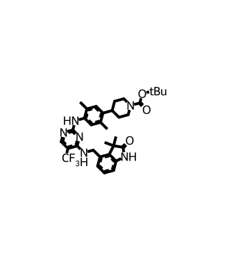 Cc1cc(C2CCN(C(=O)OC(C)(C)C)CC2)c(C)cc1Nc1ncc(C(F)(F)F)c(NCc2cccc3c2C(C)(C)C(=O)N3)n1